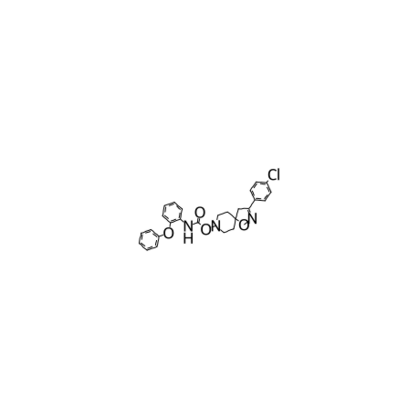 O=C(Nc1ccccc1Oc1ccccc1)ON1CCC2(CC1)CC(c1ccc(Cl)cc1)=NO2